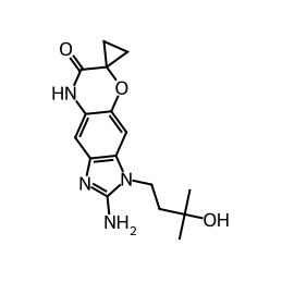 CC(C)(O)CCn1c(N)nc2cc3c(cc21)OC1(CC1)C(=O)N3